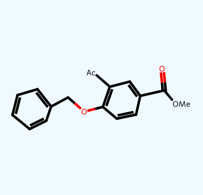 COC(=O)c1ccc(OCc2ccccc2)c(C(C)=O)c1